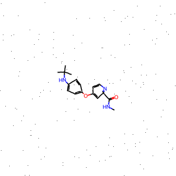 CNC(=O)c1cc(Oc2ccc(NC(C)(C)C)cc2)ccn1